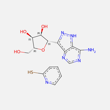 Nc1ncnc2c([C@@H]3O[C@H](CO)[C@@H](O)[C@H]3O)n[nH]c12.Sc1ccccn1